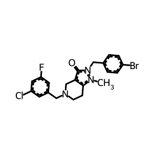 Cn1c2c(c(=O)n1Cc1ccc(Br)cc1)CN(Cc1cc(F)cc(Cl)c1)CC2